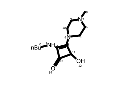 CCCCNC1=C(N2CCN(C)CC2)C(O)C1=O